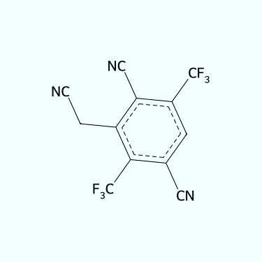 N#CCc1c(C#N)c(C(F)(F)F)cc(C#N)c1C(F)(F)F